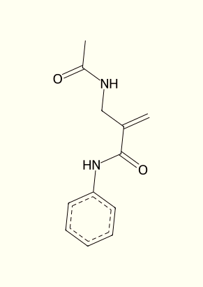 C=C(CNC(C)=O)C(=O)Nc1ccccc1